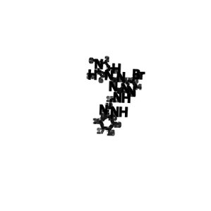 CN1C[C@H]2C[C@@H]1CN2c1nc(NCc2nc3ccccc3[nH]2)n2ncc(Br)c2n1